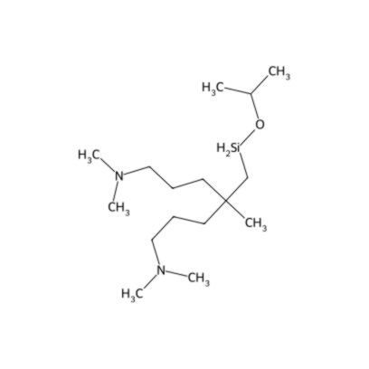 CC(C)O[SiH2]CC(C)(CCCN(C)C)CCCN(C)C